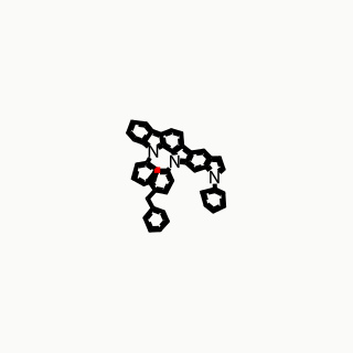 c1ccc(Cc2ccc(-n3c4cc5c(ccn5-c5ccccc5)cc4c4ccc5c6ccccc6n(-c6ccccc6)c5c43)cc2)cc1